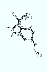 Cc1oc2cc(CCC(F)(F)F)ccc2c1C(N)=O